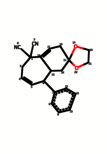 N#CC1(C#N)CC=CC(c2ccccc2)C2CC3(CC=C21)OCCO3